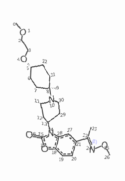 COCCO[C@H]1CC[C@](C)(N2CCC(n3c(=O)oc4ccc(/C(C)=N/OC)cc43)CC2)CC1